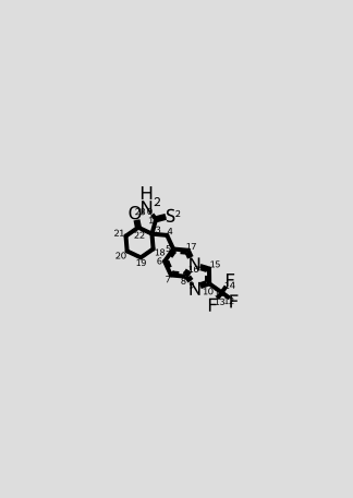 NC(=S)C1(Cc2ccc3nc(C(F)(F)F)cn3c2)CCCCC1=O